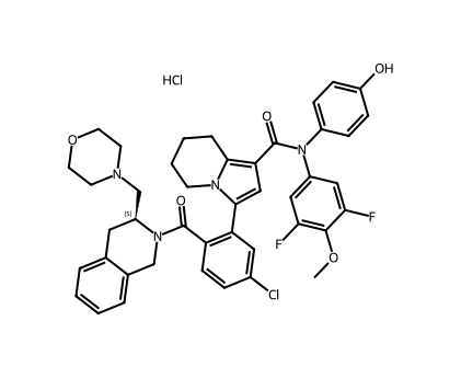 COc1c(F)cc(N(C(=O)c2cc(-c3cc(Cl)ccc3C(=O)N3Cc4ccccc4C[C@H]3CN3CCOCC3)n3c2CCCC3)c2ccc(O)cc2)cc1F.Cl